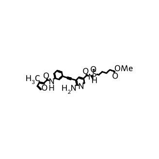 COC(=O)CCCC/[SH](=O)=N/C(=O)c1cnc(N)c(C#Cc2cccc(NC(=O)c3occc3C)c2)c1